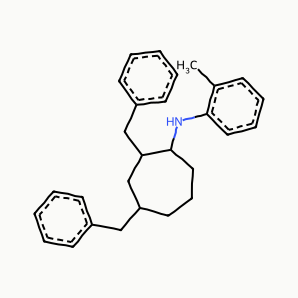 Cc1ccccc1NC1CCCC(Cc2ccccc2)CC1Cc1ccccc1